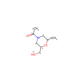 CC(=O)N1CC(C)OC(CO)C1